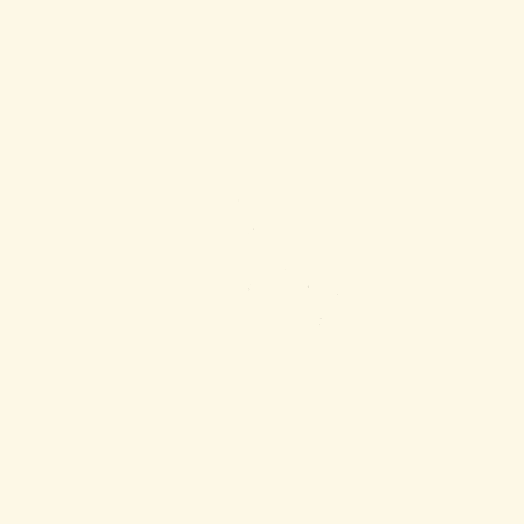 c1ccc2sc(C3CC3)cc2c1